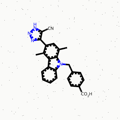 Cc1c(-c2nn[nH]c2C#N)cc(C)c2c1c1ccccc1n2Cc1ccc(C(=O)O)cc1